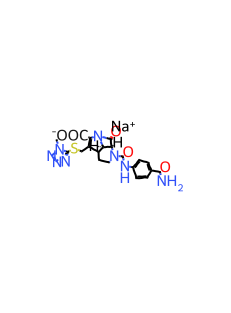 Cn1nnnc1SCC1=C(C(=O)[O-])N2C(=O)[C@@H]3[C@H]2C1CCN3C(=O)Nc1ccc(C(N)=O)cc1.[Na+]